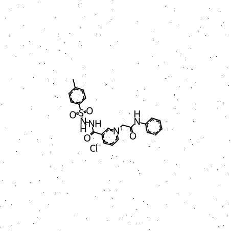 Cc1ccc(S(=O)(=O)NNC(=O)c2ccc[n+](CC(=O)Nc3ccccc3)c2)cc1.[Cl-]